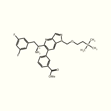 COC(=O)c1cccc(-c2cc3c(cnn3COCC[Si](C)(C)C)nc2[C@@H](N)Cc2cc(F)cc(F)c2)c1